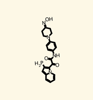 O=C(Nc1ccc(N2CCC(=NO)CC2)cc1)C(=O)c1c(P)cc2ccccn12